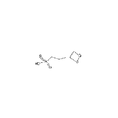 C1COO1.CCCS(=O)(=O)O